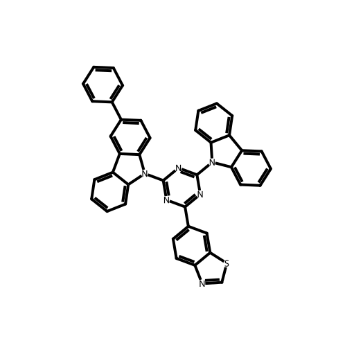 c1ccc(-c2ccc3c(c2)c2ccccc2n3-c2nc(-c3ccc4ncsc4c3)nc(-n3c4ccccc4c4ccccc43)n2)cc1